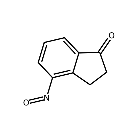 O=Nc1cccc2c1CCC2=O